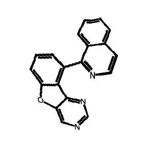 c1ccc2c(-c3cccc4oc5cncnc5c34)nccc2c1